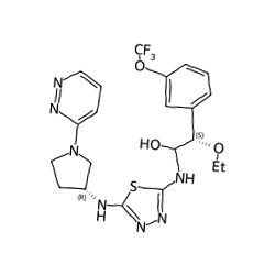 CCO[C@@H](c1cccc(OC(F)(F)F)c1)C(O)Nc1nnc(N[C@@H]2CCN(c3cccnn3)C2)s1